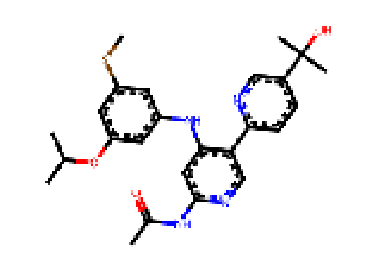 CSc1cc(Nc2cc(NC(C)=O)ncc2-c2ccc(C(C)(C)O)cn2)cc(OC(C)C)c1